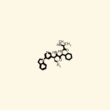 CC[C@H](C(=N)C(=O)[C@@H](NC(=O)[C@H](C)NC)C1CCCCC1)c1cncc(N2CCc3ccccc32)c1